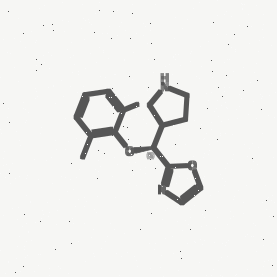 Cc1cccc(C)c1O[C@H](c1ncco1)C1CCNC1